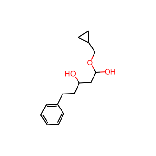 OC(CCc1ccccc1)CC(O)OCC1CC1